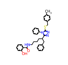 Cc1ccc(CSc2nnc(C(CCCCNC(=O)c3ccccc3O)Cc3ccccc3)n2-c2ccccc2)cc1